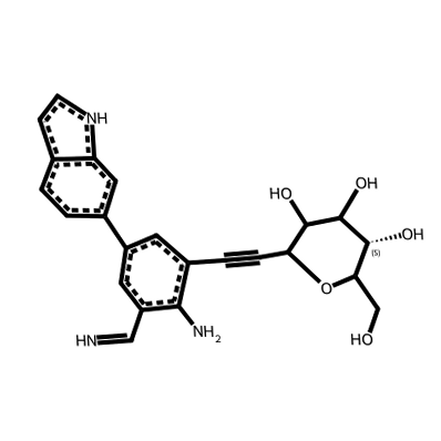 N=Cc1cc(-c2ccc3cc[nH]c3c2)cc(C#CC2OC(CO)[C@@H](O)C(O)C2O)c1N